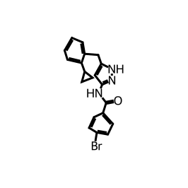 O=C(Nc1cc(Cc2ccccc2C2CC2)[nH]n1)c1ccc(Br)cc1